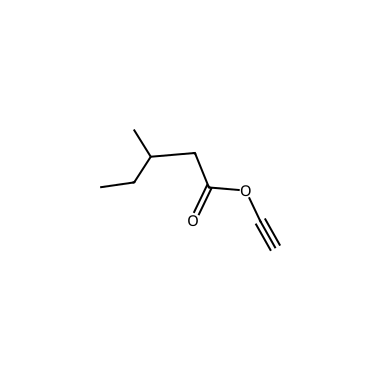 C#COC(=O)CC(C)CC